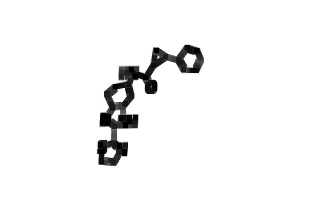 O=C(Nc1ccc2nc(-c3nccs3)[nH]c2c1)C1CC1c1ccccc1